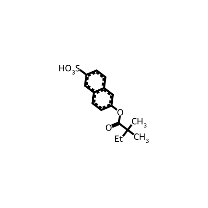 CCC(C)(C)C(=O)Oc1ccc2cc(S(=O)(=O)O)ccc2c1